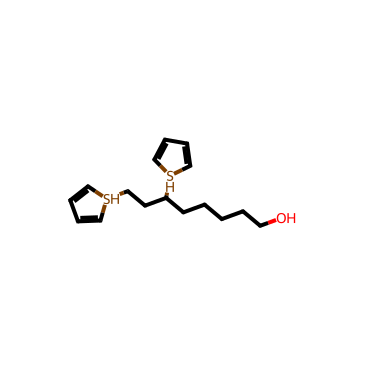 OCCCCCC(CC[SH]1C=CC=C1)[SH]1C=CC=C1